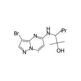 CC(C)C(Nc1c[c]n2ncc(Br)c2n1)C(C)(C)O